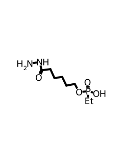 CCP(=O)(O)OCCCCCC(=O)NN